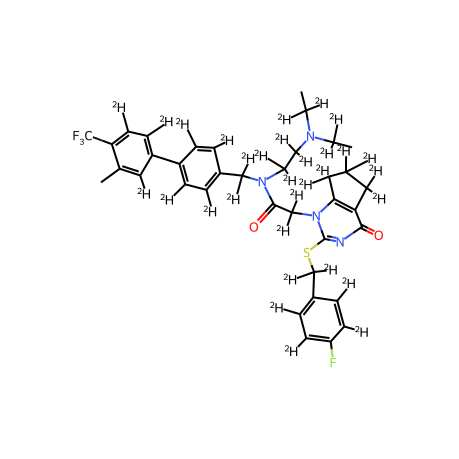 [2H]c1c([2H])c(C([2H])([2H])Sc2nc(=O)c3c(n2C([2H])([2H])C(=O)N(C([2H])([2H])c2c([2H])c([2H])c(-c4c([2H])c([2H])c(C(F)(F)F)c(C)c4[2H])c([2H])c2[2H])C([2H])([2H])C([2H])([2H])N(C([2H])([2H])C)C([2H])([2H])C)C([2H])([2H])C([2H])([2H])C3([2H])[2H])c([2H])c([2H])c1F